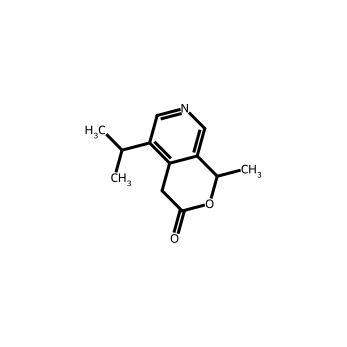 CC(C)c1cncc2c1CC(=O)OC2C